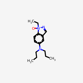 CCCN(CCC)c1ccc2c(c1)C=N[N+]2([O-])CC